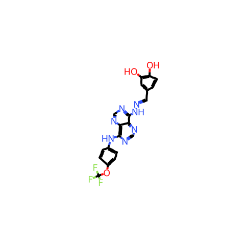 Oc1ccc(/C=N/Nc2ncnc3c(Nc4ccc(OC(F)(F)F)cc4)ncnc23)cc1O